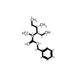 CC[C@H](C)[C@@H](CO)N(C)C(=O)OCc1ccccc1